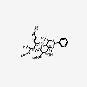 CC1OC(c2ccccc2)O[C@@H]2C1O[C@H](O[C@H](C(C)N=[N+]=[N-])[C@H](O)/C=C/N=[N+]=[N-])C(N=[N+]=[N-])[C@H]2O